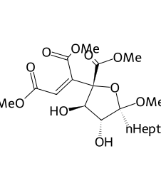 CCCCCCC[C@@]1(OC)O[C@@](C(=O)OC)(/C(=C/C(=O)OC)C(=O)OC)[C@H](O)[C@H]1O